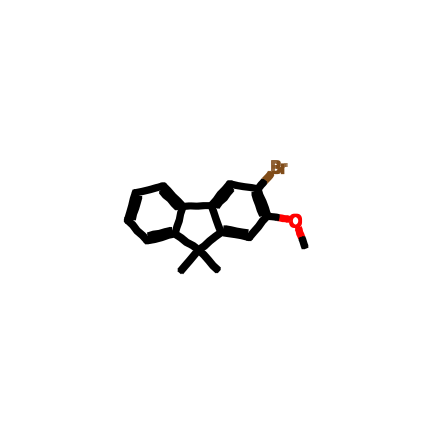 COc1cc2c(cc1Br)-c1ccccc1C2(C)C